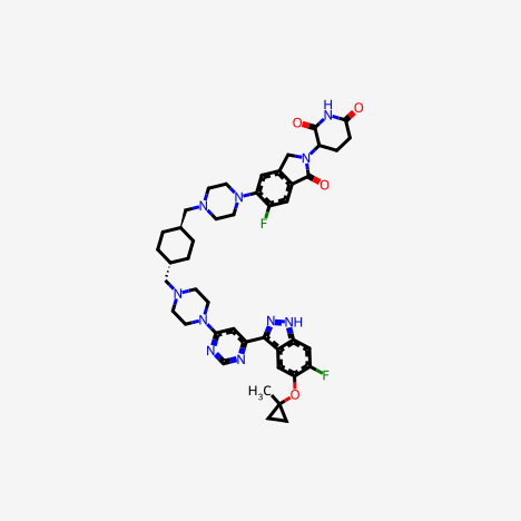 CC1(Oc2cc3c(-c4cc(N5CCN(C[C@H]6CC[C@H](CN7CCN(c8cc9c(cc8F)C(=O)N(C8CCC(=O)NC8=O)C9)CC7)CC6)CC5)ncn4)n[nH]c3cc2F)CC1